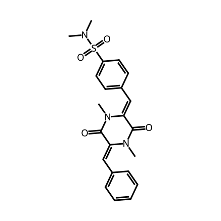 CN(C)S(=O)(=O)c1ccc(/C=c2/c(=O)n(C)/c(=C\c3ccccc3)c(=O)n2C)cc1